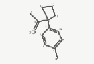 CC(=O)C1(c2ccc(C)cc2)CCC1